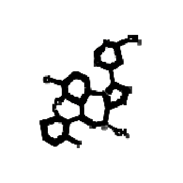 Cc1cc(-c2nnc3n2-c2ccc(Cl)c(Cl)c2C(c2c(F)cccc2F)=N[C@H]3C)ncn1